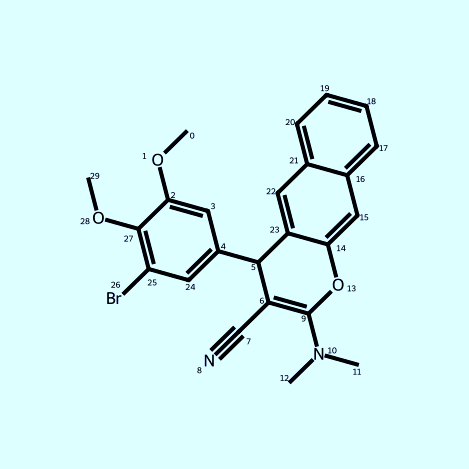 COc1cc(C2C(C#N)=C(N(C)C)Oc3cc4ccccc4cc32)cc(Br)c1OC